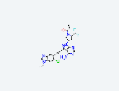 C=CC(=O)N1CC(n2nc(C#Cc3cc4ncn(CC)c4cc3Cl)c3c(N)ncnc32)C[C@@H]1C(F)F